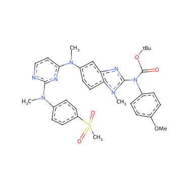 COc1ccc(N(C(=O)OC(C)(C)C)c2nc3cc(N(C)c4ccnc(N(C)c5ccc(S(C)(=O)=O)cc5)n4)ccc3n2C)cc1